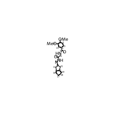 COc1ccc(C(=O)NCC(=O)NN=C2Cc3ccccc3C2)cc1OC